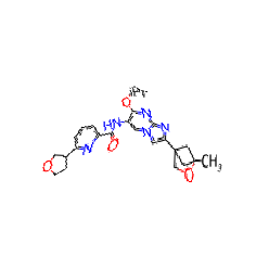 CC(C)Oc1nc2nc(C34COC(C)(C3)C4)cn2cc1NC(=O)c1cccc(C2CCOC2)n1